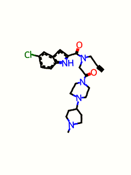 C#CCN(CC(=O)N1CCN(C2CCN(C)CC2)CC1)C(=O)c1cc2cc(Cl)ccc2[nH]1